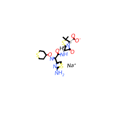 CC1(C)S[C@@H]2[C@@H](NC(=O)/C(=N\OC3CCSCC3)c3csc(N)n3)C(=O)N2[C@H]1C(=O)[O-].[Na+]